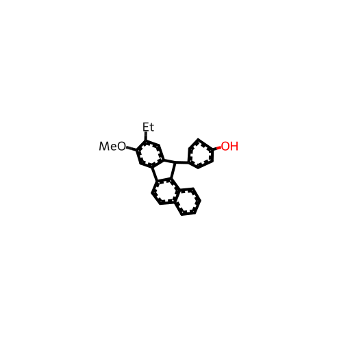 CCc1cc2c(cc1OC)-c1ccc3ccccc3c1C2c1ccc(O)cc1